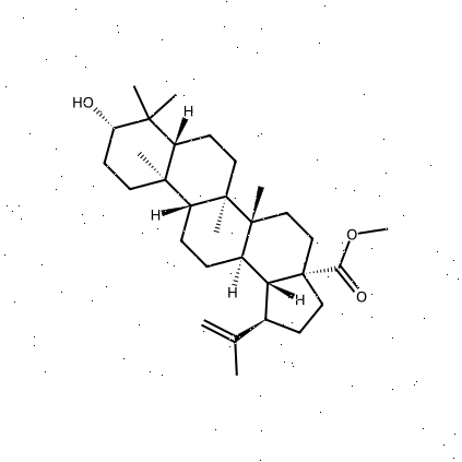 C=C(C)[C@@H]1CC[C@]2(C(=O)OC)CC[C@]3(C)[C@H](CC[C@@H]4[C@@]5(C)CC[C@H](O)C(C)(C)[C@@H]5CC[C@]43C)[C@@H]12